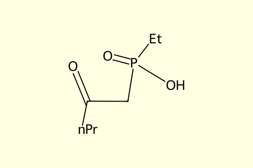 CCCC(=O)CP(=O)(O)CC